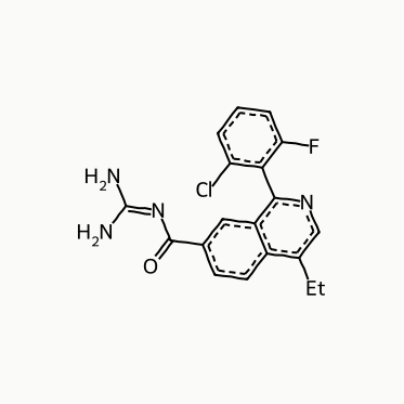 CCc1cnc(-c2c(F)cccc2Cl)c2cc(C(=O)N=C(N)N)ccc12